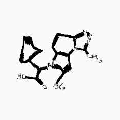 Cc1cc2c(ccc3nnc(C)n32)n1C(C(=O)O)c1ccccc1